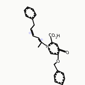 C/C(=C\C=C/Cc1ccccc1)n1cc(OCc2ccccc2)c(=O)cc1C(=O)O